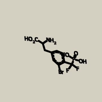 NC(Cc1ccc(C(F)(F)P(=O)(O)O)c(Br)c1)C(=O)O